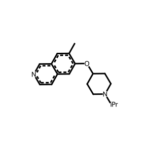 Cc1cc2cnccc2cc1OC1CCN(C(C)C)CC1